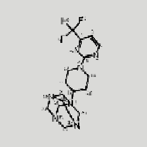 FC(F)(F)c1ccnc(N2CCC([N+]34CN5CN(CN(C5)C3)C4)CC2)n1